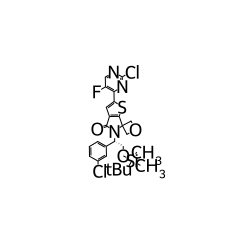 CC(C)(C)[Si](C)(C)OC[C@H](c1cccc(Cl)c1)N1C(=O)c2cc(-c3nc(Cl)ncc3F)sc2C12COC2